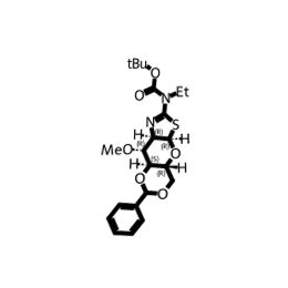 CCN(C(=O)OC(C)(C)C)C1=N[C@@H]2[C@@H](OC)[C@@H]3OC(c4ccccc4)OC[C@H]3O[C@@H]2S1